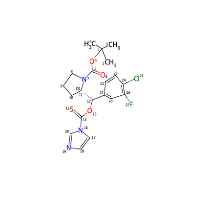 CC(C)(C)OC(=O)N1CCC[C@H]1C(OC(=S)n1ccnc1)c1ccc(Cl)c(F)c1